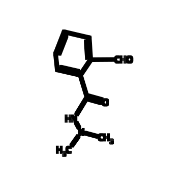 CN(C)NC(=O)c1ccccc1C=O